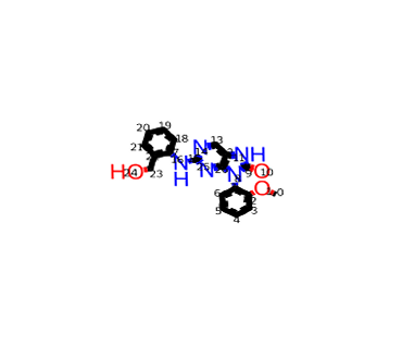 COc1ccccc1-n1c(=O)[nH]c2cnc(Nc3ccccc3CO)nc21